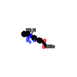 COC(=O)CCC(=O)c1ccc(-c2ccc(N=Nc3cc(S(=O)(=O)O)c4ccccc4c3N)cn2)cc1